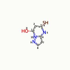 Oc1cc(S)nc2ccnn12